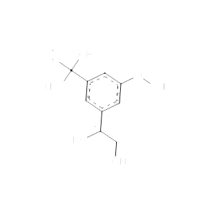 COc1cc([C](C)CO)cc(C(C)(C)C)c1